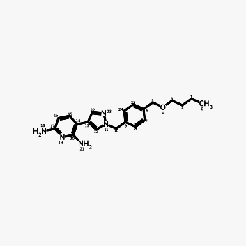 CCCCOCc1ccc(Cn2cc(-c3ccc(N)nc3N)cn2)cc1